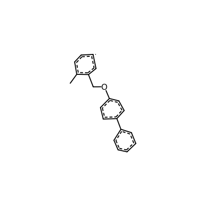 Cc1cc[c]cc1COc1ccc(-c2ccccc2)cc1